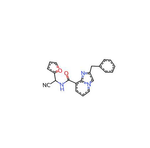 N#CC(NC(=O)c1cccn2cc(Cc3ccccc3)nc12)c1ccco1